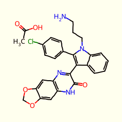 CC(=O)O.NCCCn1c(-c2ccc(Cl)cc2)c(-c2nc3cc4c(cc3[nH]c2=O)OCO4)c2ccccc21